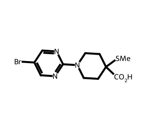 CSC1(C(=O)O)CCN(c2ncc(Br)cn2)CC1